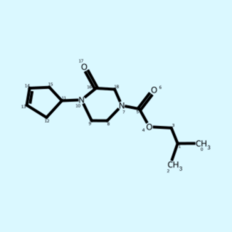 CC(C)COC(=O)N1CCN(C2CC=CC2)C(=O)C1